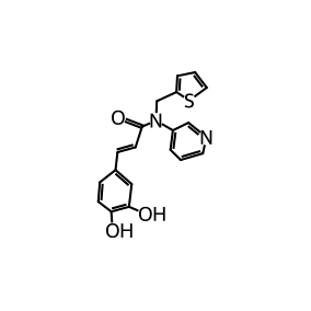 O=C(/C=C/c1ccc(O)c(O)c1)N(Cc1cccs1)c1cccnc1